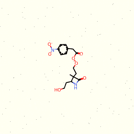 CC1(CCOOC(=O)Cc2ccc([N+](=O)[O-])cc2)C(=O)NC1CCO